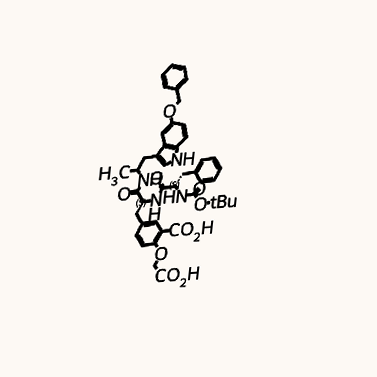 CC(Cc1c[nH]c2ccc(OCc3ccccc3)cc12)NC(=O)[C@H](Cc1ccc(OCC(=O)O)c(C(=O)O)c1)NC(=O)[C@H](Cc1ccccc1)NC(=O)OC(C)(C)C